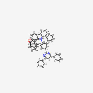 c1ccc(-c2cc(-c3ccccc3)nc(-c3cc(-c4ccccc4)c(-n4c5ccccc5c5ccc6oc7ccccc7c6c54)c(-c4ccccc4)c3)n2)cc1